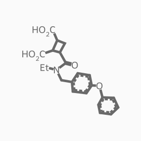 CCN(Cc1ccc(Oc2ccccc2)cc1)C(=O)C1CC(C(=O)O)C1C(=O)O